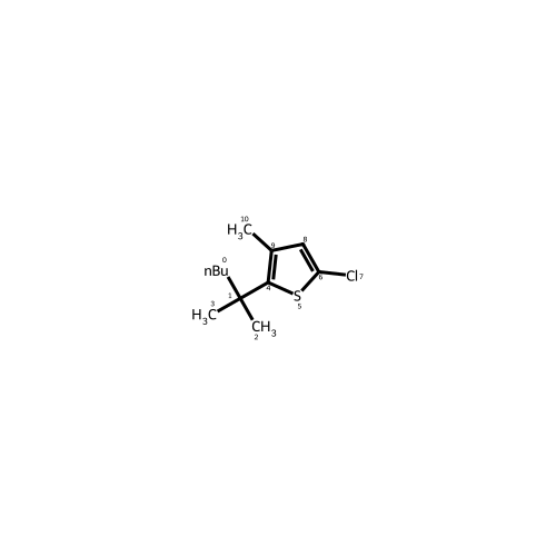 CCCCC(C)(C)c1sc(Cl)cc1C